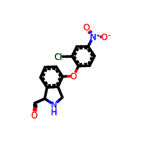 O=CC1NCc2c(Oc3ccc([N+](=O)[O-])cc3Cl)cccc21